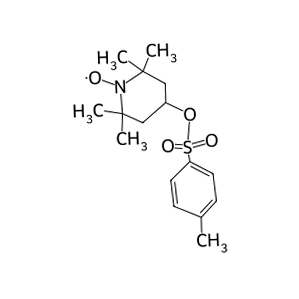 Cc1ccc(S(=O)(=O)OC2CC(C)(C)N([O])C(C)(C)C2)cc1